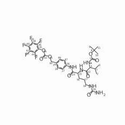 CC(C)C(NC(=O)OC(C)(C)C)C(=O)NC(CCCNC(N)=O)C(=O)Nc1ccc(COC(=O)Oc2c(F)c(F)c(F)c(F)c2F)cc1